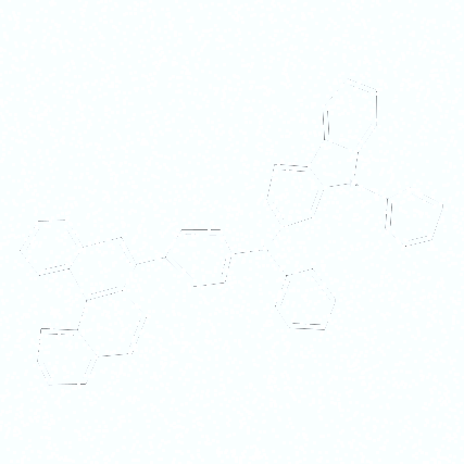 c1ccc(N(c2ccc(-c3cc4ccccc4c4c3ccc3ccccc34)cc2)c2ccc3c4ccccc4n(-c4ccccc4)c3c2)cc1